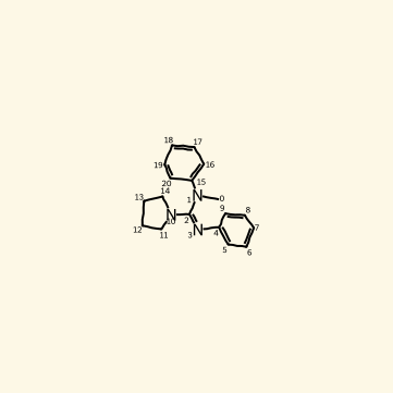 CN(C(=Nc1ccccc1)N1CCCC1)c1ccccc1